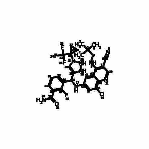 CC(C)(C)CNc1c(C#N)cnc2c(Cl)cc(N[C@H](C3=CN(C4(C(F)(F)F)CC4)NN3)c3cccc(C(N)=O)c3F)cc12